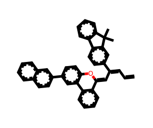 C=C/C=C(\C=C1/Oc2ccc(-c3ccc4ccccc4c3)cc2-c2ccccc21)c1ccc2c(c1)C(C)(C)c1ccccc1-2